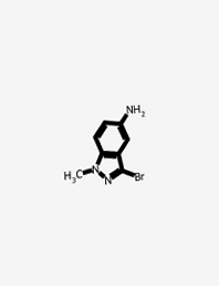 Cn1nc(Br)c2cc(N)ccc21